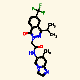 Cc1cc2nccn2cc1NC(=O)Cn1nc(C(C)C)c2cc(C(F)(F)F)ccc2c1=O